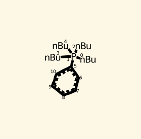 CCCCP(CCCC)(CCCC)(CCCC)c1ccccc1